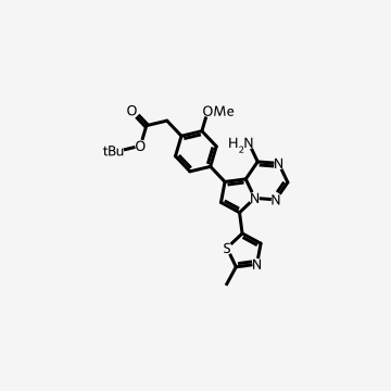 COc1cc(-c2cc(-c3cnc(C)s3)n3ncnc(N)c23)ccc1CC(=O)OC(C)(C)C